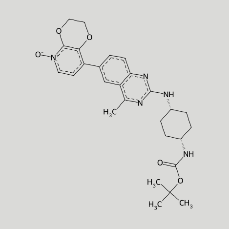 Cc1nc(N[C@H]2CC[C@@H](NC(=O)OC(C)(C)C)CC2)nc2ccc(-c3cc[n+]([O-])c4c3OCCO4)cc12